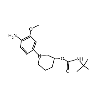 COc1cc(N2CCC[C@@H](OC(=O)NC(C)(C)C)C2)ccc1N